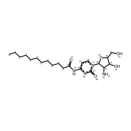 CCCCCCCCCCCC(=O)Nc1ccn(C2OC(CO)C(O)C2N)c(=O)n1